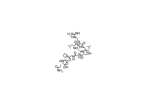 CC(C)C[C@@H](N)C(=O)N[C@@H](CCCNC(=N)N)C(=O)N[C@H](CC(C)C)C(=O)N[C@@H](CO)C(=O)NCC(=O)NCC(=O)N1CCC[C@H]1C(=O)N[C@@H](CCC(N)=O)C(=O)O